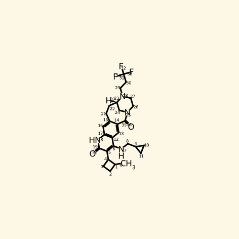 CC1CCC1c1c(NCC2CC2)c2cc3c(cc2[nH]c1=O)CC[C@H]1CN(CCN1CCC(F)(F)F)C3=O